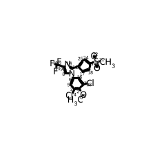 COc1c(Cl)cc(-n2cc(C(F)(F)F)nc2-c2ccc(S(C)(=O)=O)cc2)cc1Cl